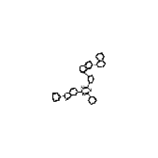 c1ccc(-c2ccc3cc(-c4nc(-c5ccccc5)nc(-c5cccc(-c6cccc7ccc(-c8cccc9ccccc89)cc67)c5)n4)ccc3c2)cc1